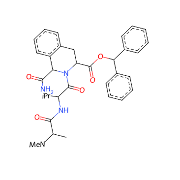 CNC(C)C(=O)NC(C(=O)N1C(C(=O)OC(c2ccccc2)c2ccccc2)Cc2ccccc2C1C(N)=O)C(C)C